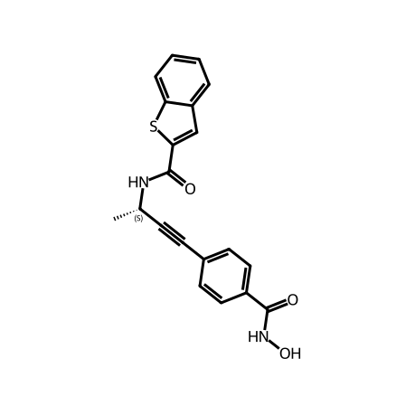 C[C@@H](C#Cc1ccc(C(=O)NO)cc1)NC(=O)c1cc2ccccc2s1